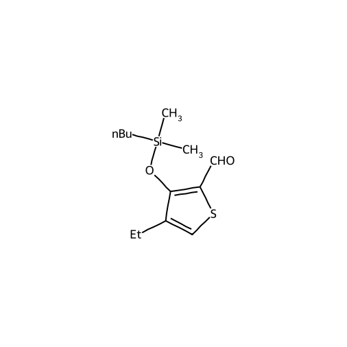 CCCC[Si](C)(C)Oc1c(CC)csc1C=O